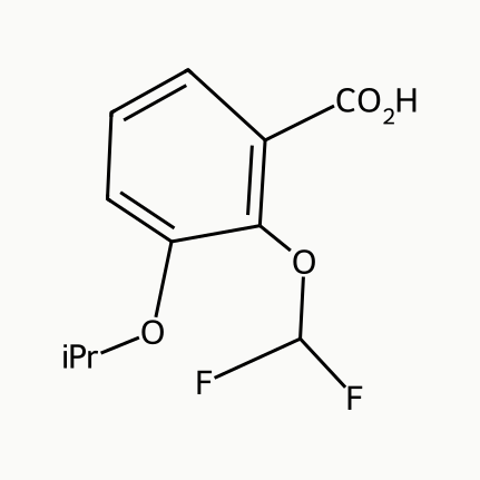 CC(C)Oc1cccc(C(=O)O)c1OC(F)F